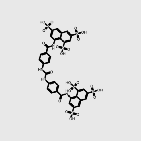 O=C(Nc1ccc(C(=O)Nc2cc(S(=O)(=O)O)cc3cc(S(=O)(=O)O)cc(S(=O)(=O)O)c23)cc1)Nc1ccc(C(=O)Nc2cc(S(=O)(=O)O)cc3cc(S(=O)(=O)O)cc(S(=O)(=O)O)c23)cc1